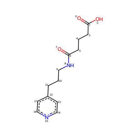 O=C(O)CCCC(=O)NCCCc1ccncc1